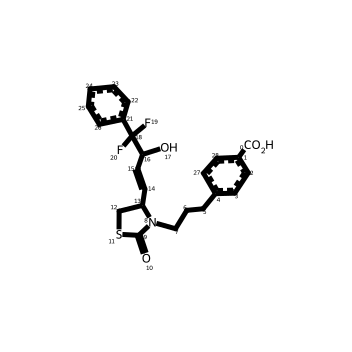 O=C(O)c1ccc(CCCN2C(=O)SCC2C=CC(O)C(F)(F)c2ccccc2)cc1